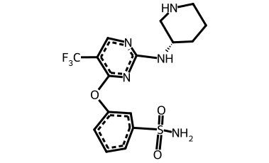 NS(=O)(=O)c1cccc(Oc2nc(N[C@H]3CCCNC3)ncc2C(F)(F)F)c1